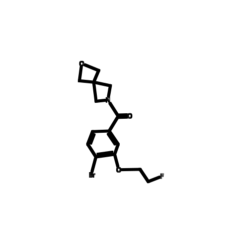 O=C(c1ccc(Br)c(OCCF)c1)N1CC2(COC2)C1